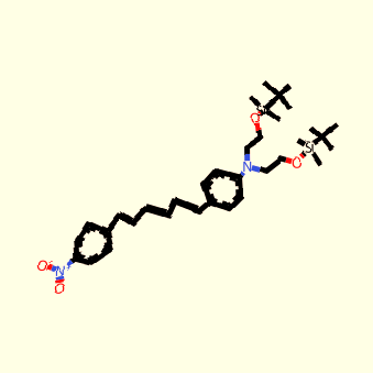 CC(C)(C)[Si](C)(C)OCCN(CCO[Si](C)(C)C(C)(C)C)c1ccc(C=CC=CC=Cc2ccc([N+](=O)[O-])cc2)cc1